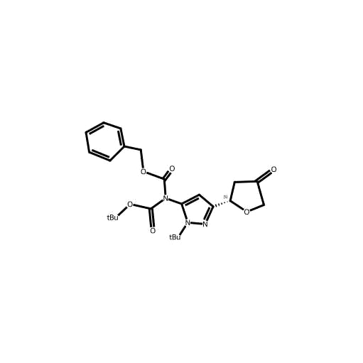 CC(C)(C)OC(=O)N(C(=O)OCc1ccccc1)c1cc([C@@H]2CC(=O)CO2)nn1C(C)(C)C